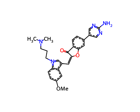 COc1ccc2c(c1)c(C=C1Oc3cc(-c4cnc(N)nc4)ccc3C1=O)cn2CCCN(C)C